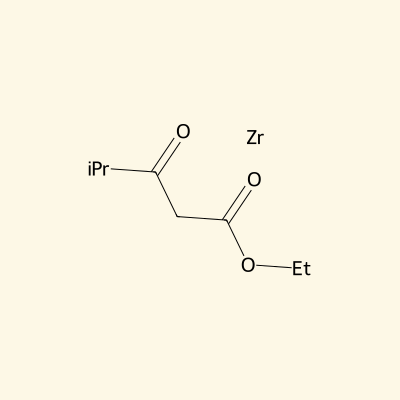 CCOC(=O)CC(=O)C(C)C.[Zr]